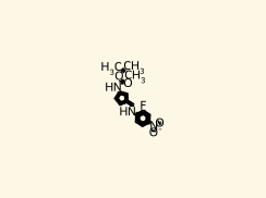 CC(C)(C)OC(=O)NC1CCC(CNc2ccc([N+](=O)[O-])cc2F)C1